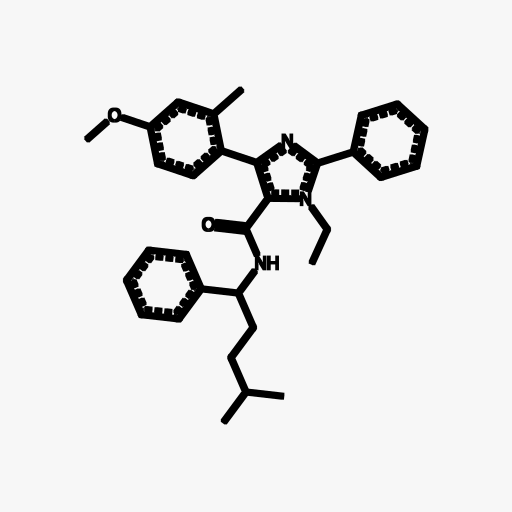 CCn1c(-c2ccccc2)nc(-c2ccc(OC)cc2C)c1C(=O)NC(CCC(C)C)c1ccccc1